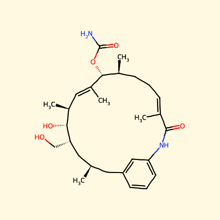 C/C1=C\CC[C@H](C)[C@@H](OC(N)=O)/C(C)=C/[C@H](C)[C@@H](O)[C@@H](CO)C[C@H](C)Cc2cccc(c2)NC1=O